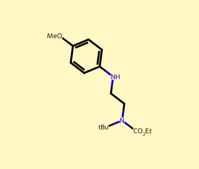 CCOC(=O)N(CCNc1ccc(OC)cc1)C(C)(C)C